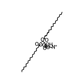 CCCCCCCCCCCCC/C=C/C=C/C(=O)O[C@H](COC(=O)CCCCCCCCCCCCCCCCC)COP(=O)(O)OCC[N+](C)(C)C